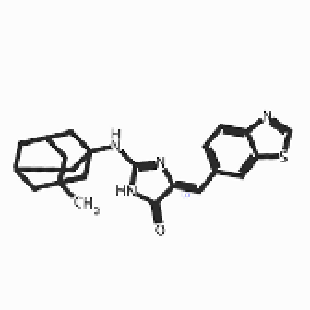 CC12CC3CC(C1)CC(NC1=N/C(=C\c4ccc5ncsc5c4)C(=O)N1)(C3)C2